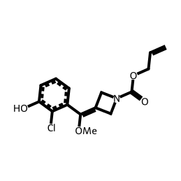 C=CCOC(=O)N1CC(=C(OC)c2cccc(O)c2Cl)C1